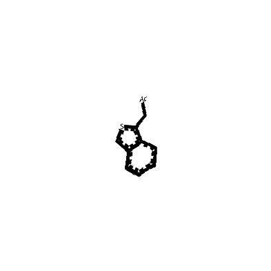 CC(=O)[CH]c1scc2ccccc12